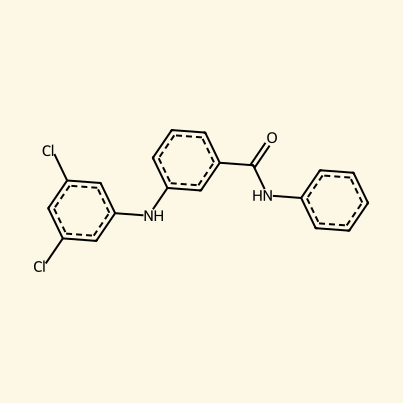 O=C(Nc1ccccc1)c1cccc(Nc2cc(Cl)cc(Cl)c2)c1